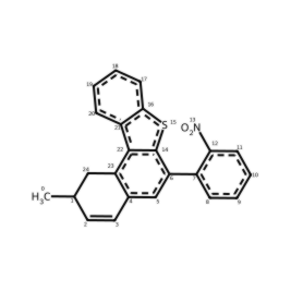 CC1C=Cc2cc(-c3ccccc3[N+](=O)[O-])c3sc4ccccc4c3c2C1